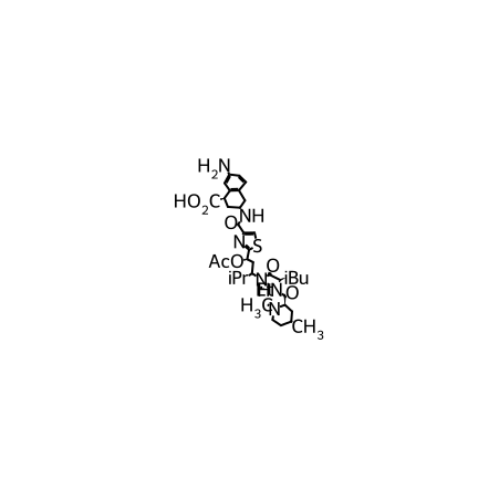 CC[C@H](C)[C@H](NC(=O)[C@H]1C[C@H](C)CCN1C)C(=O)N(CC)C(C[C@@H](OC(C)=O)c1nc(C(=O)N[C@H]2Cc3ccc(N)cc3[C@H](C(=O)O)C2)cs1)C(C)C